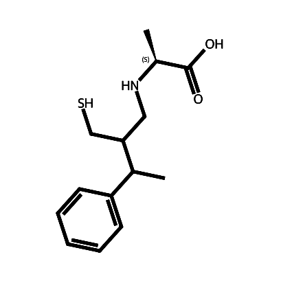 CC(c1ccccc1)C(CS)CN[C@@H](C)C(=O)O